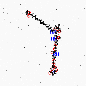 CC(C)(C)OC(=O)CCCCCCCCCCCCCCCCC(=O)N[C@@H](CCC(=O)NCCOCCOCC(=O)NCCOCCOCC(=O)ON1C(=O)CCC1=O)C(=O)OC(C)(C)C